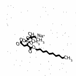 CCCCCCCCCCOC(=O)C(CC(=O)[O-])S(=O)(=O)OC(C)(C)CC.[Na+]